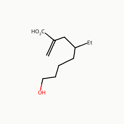 C=C(CC(CC)CCCCO)C(=O)O